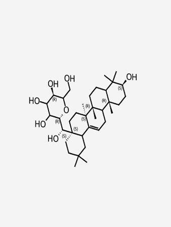 CC1(C)CC[C@]2([C@H](O)[C@H]3OC(CO)[C@H](O)C(O)C3O)CC[C@]3(C)C(=CCC4[C@@]5(C)CC[C@H](O)C(C)(C)C5CC[C@]43C)C2C1